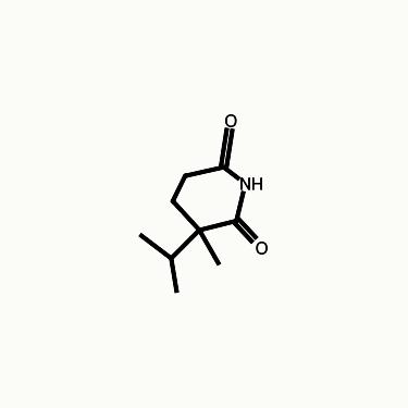 CC(C)C1(C)CCC(=O)NC1=O